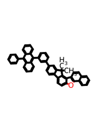 CC1(C)c2cc(-c3cccc(-c4c5ccccc5c(-c5ccccc5)c5ccccc45)c3)ccc2-c2ccc3oc4c5ccccc5ccc4c3c21